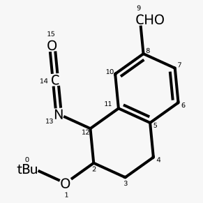 CC(C)(C)OC1CCc2ccc(C=O)cc2C1N=C=O